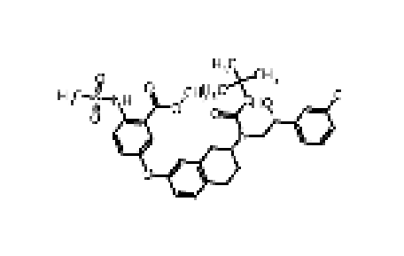 COC(=O)c1cc(Oc2ccc3c(c2)C[C@@H](N(C[C@H](O)c2cccc(Cl)c2)C(=O)OC(C)(C)C)CC3)ccc1NS(C)(=O)=O